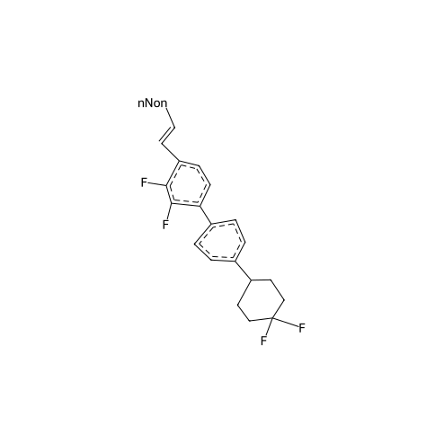 CCCCCCCCCC=Cc1ccc(-c2ccc(C3CCC(F)(F)CC3)cc2)c(F)c1F